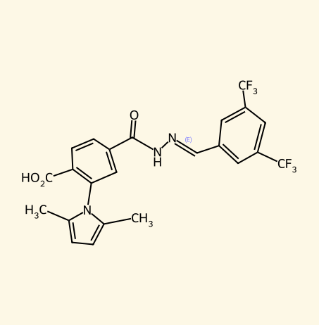 Cc1ccc(C)n1-c1cc(C(=O)N/N=C/c2cc(C(F)(F)F)cc(C(F)(F)F)c2)ccc1C(=O)O